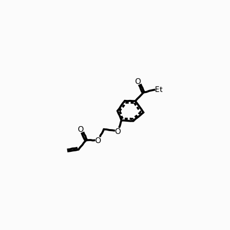 C=CC(=O)OCOc1ccc(C(=O)CC)cc1